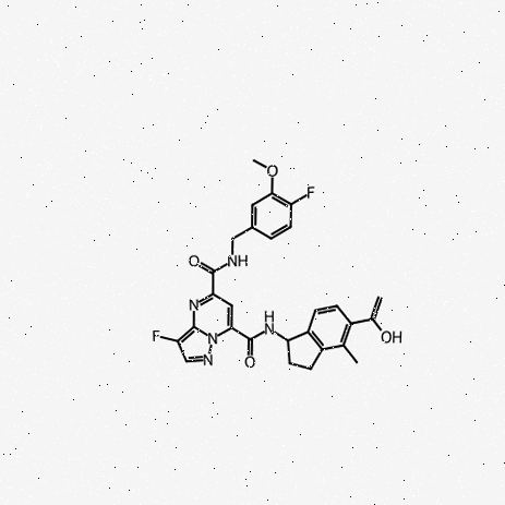 C=C(O)c1ccc2c(c1C)CCC2NC(=O)c1cc(C(=O)NCc2ccc(F)c(OC)c2)nc2c(F)cnn12